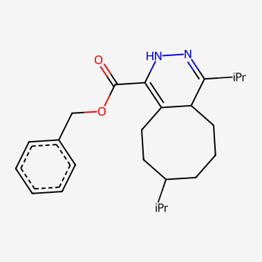 CC(C)C1=NNC(C(=O)OCc2ccccc2)=C2CCC(C(C)C)CCCC12